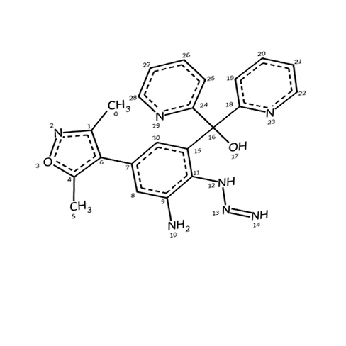 Cc1noc(C)c1-c1cc(N)c(NN=N)c(C(O)(c2ccccn2)c2ccccn2)c1